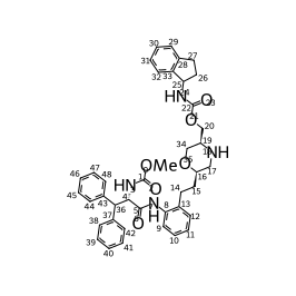 COC(=O)N[C@H](C(=O)Nc1ccccc1CC[C@@H]1CN[C@H](COC(=O)NC2CCc3ccccc32)CO1)C(c1ccccc1)c1ccccc1